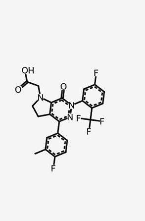 Cc1cc(-c2nn(-c3cc(F)ccc3C(F)(F)F)c(=O)c3c2CCN3CC(=O)O)ccc1F